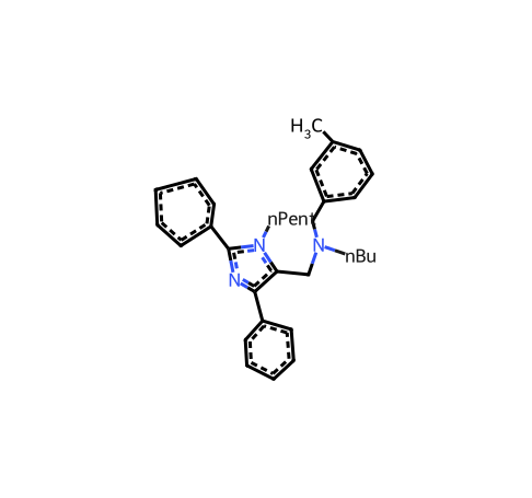 CCCCCn1c(-c2ccccc2)nc(-c2ccccc2)c1CN(CCCC)Cc1cccc(C)c1